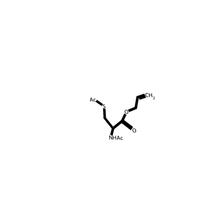 C=CCOC(=O)C(CSC(C)=O)NC(C)=O